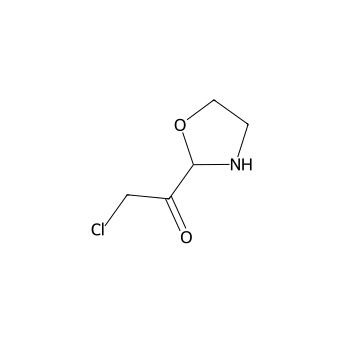 O=C(CCl)C1NCCO1